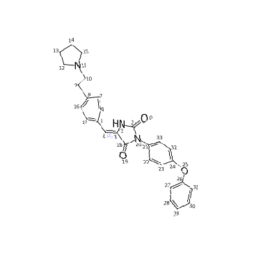 O=C1N/C(=C\c2ccc(CCN3CCCC3)cc2)C(=O)N1c1ccc(Oc2ccccc2)cc1